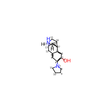 Oc1cc2c(cc1N1CCCC1)C[C@H]1NCC[C@@]23CCCC[C@@H]13